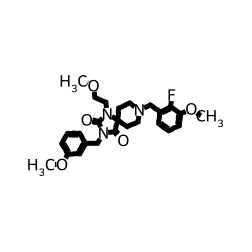 COCCN1C(=O)N(Cc2cccc(OC)c2)C(=O)C12CCN(Cc1cccc(OC)c1F)CC2